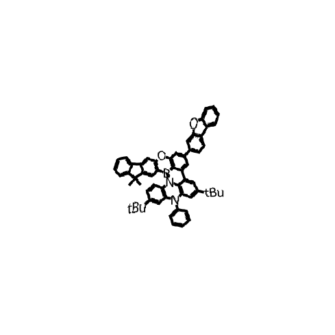 CC(C)(C)c1ccc2c(c1)N(c1ccccc1)c1cc(C(C)(C)C)cc3c1N2B1c2cc4c(cc2Oc2cc(-c5ccc6c(c5)oc5ccccc56)cc-3c21)-c1ccccc1C4(C)C